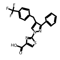 O=C(O)c1csc(-n2cc(Cc3ccc(C(F)(F)F)cc3)c(-c3ccccc3)n2)n1